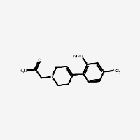 COc1cc([N+](=O)[O-])ccc1C1=CCN(CC(N)=O)CC1